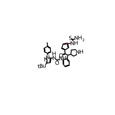 Cc1ccc(-n2nc(C(C)(C)C)cc2NC(=O)Nc2ccccc2C(C(=O)c2cccc(NC(N)=S)c2)C2CCNCC2)cc1